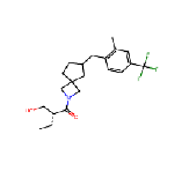 CC[C@H](CO)C(=O)N1CC2(CCC(Cc3ccc(C(F)(F)F)cc3C)C2)C1